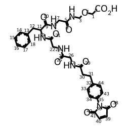 O=C(O)COCNC(=O)CNC(=O)C(Cc1ccccc1)NC(=O)CNC(=O)CNC(=O)CCc1ccc(N2C(=O)C=CC2=O)cc1